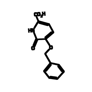 O=C(O)c1ccc(OCc2ccccc2)c(=O)[nH]1